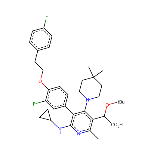 Cc1nc(NC2CC2)c(-c2ccc(OCCc3ccc(F)cc3)c(F)c2)c(N2CCC(C)(C)CC2)c1C(OC(C)(C)C)C(=O)O